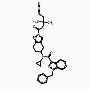 CC(C)(CN=[N+]=[N-])OC(=O)n1cc2c(n1)CCC(N(C(=O)c1nn(Cc3ccccc3)c3ccccc13)C1CC1)C2